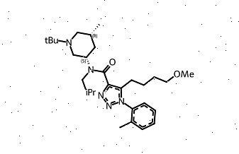 COCCCCc1c(C(=O)N(CC(C)C)[C@H]2C[C@@H](C)CN(C(C)(C)C)C2)nnn1-c1ccccc1C